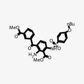 CCCCOc1ccc(S(=O)(=O)Nc2ccc(C(=O)c3cccc(C(=O)OC)c3)c(N)c2C(=O)OC)cc1